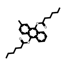 CCCCCC(=O)Oc1c2ccccc2c(OC(=O)CCCCC)c2cc(C)ccc12